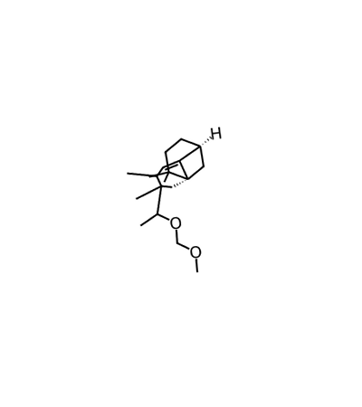 COCOC(C)C1(C)C[C@]23C[C@H](CCC2(C)C)C3=CC1C